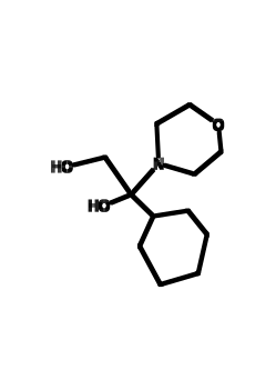 OCC(O)(C1CCCCC1)N1CCOCC1